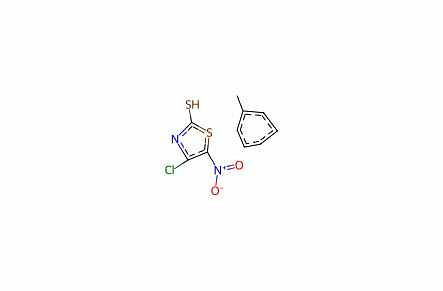 Cc1ccccc1.O=[N+]([O-])c1sc(S)nc1Cl